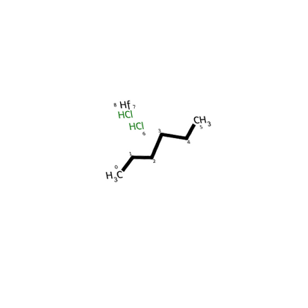 CCCCCC.Cl.Cl.[Hf]